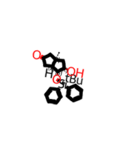 CC(C)(C)[Si](O[C@@H]1[C@H](O)C[C@]2(C)CC(=O)C[C@H]12)(c1ccccc1)c1ccccc1